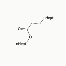 [CH2]CCCCCCCCC(=O)OCCCCCCC